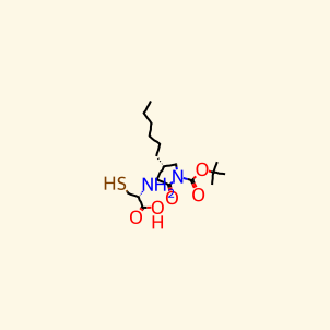 CCCCCC[C@H]1CC(=O)N(C(=O)OC(C)(C)C)C1.N[C@@H](CS)C(=O)O